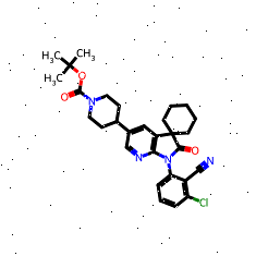 CC(C)(C)OC(=O)N1CCC(c2cnc3c(c2)C2(CCCCC2)C(=O)N3c2cccc(Cl)c2C#N)CC1